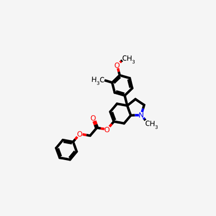 COc1ccc(C23CC=C(OC(=O)COc4ccccc4)CC2N(C)CC3)cc1C